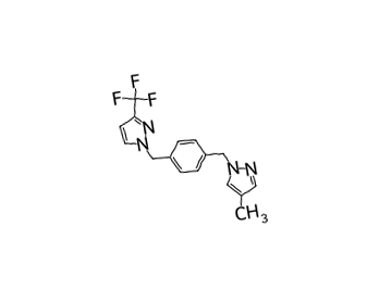 Cc1cnn(Cc2ccc(Cn3ccc(C(F)(F)F)n3)cc2)c1